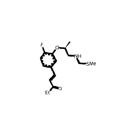 CCC(=O)/C=C/c1ccc(F)c(O[C@@H](C)CNCSC)c1